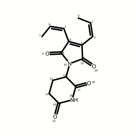 C/C=C\C1=C(/C=C\C)C(=O)N(C2CCC(=O)NC2=O)C1=O